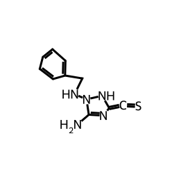 NC1=NC(=C=S)NN1NCc1ccccc1